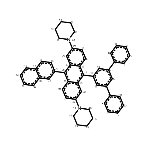 c1ccc(-c2cc(-c3ccccc3)cc(-c3c4ccc(N5CCCCC5)cc4c(-c4ccc5ccccc5c4)c4ccc(N5CCCCC5)cc34)c2)cc1